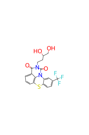 O=c1c2cccc3c2n(c(=O)n1CCC(O)CO)-c1cc(C(F)(F)F)ccc1S3